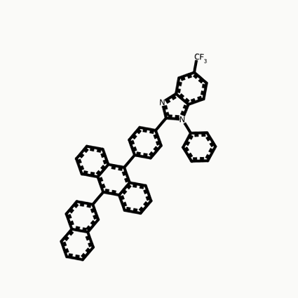 FC(F)(F)c1ccc2c(c1)nc(-c1ccc(-c3c4ccccc4c(-c4ccc5ccccc5c4)c4ccccc34)cc1)n2-c1ccccc1